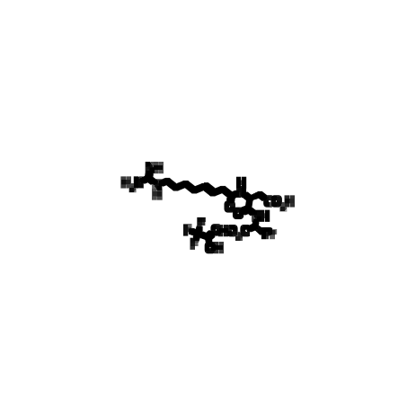 CC(C)[C@H](NC(=O)[C@H](CC(=O)O)NC(=O)C/C=C/CCCCNC(=N)N)C(=O)O.O=C(O)C(F)(F)F